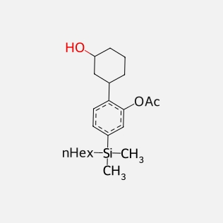 CCCCCC[Si](C)(C)c1ccc(C2CCCC(O)C2)c(OC(C)=O)c1